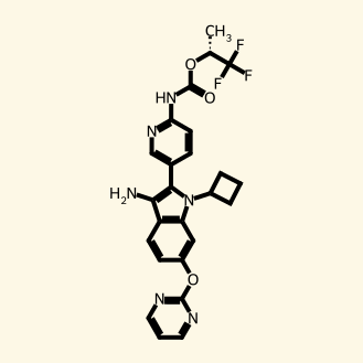 C[C@@H](OC(=O)Nc1ccc(-c2c(N)c3ccc(Oc4ncccn4)cc3n2C2CCC2)cn1)C(F)(F)F